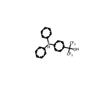 OC(c1ccc([SH](c2ccccc2)c2ccccc2)cc1)(C(F)(F)F)C(F)(F)F